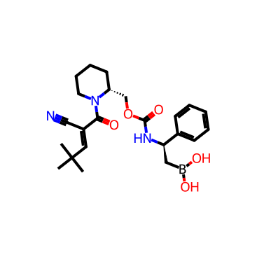 CC(C)(C)C=C(C#N)C(=O)N1CCCC[C@@H]1COC(=O)N[C@H](CB(O)O)c1ccccc1